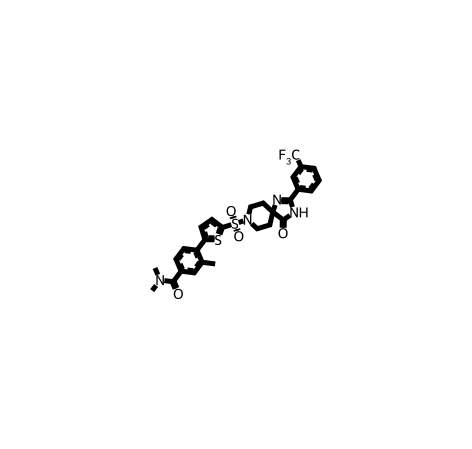 Cc1cc(C(=O)N(C)C)ccc1-c1ccc(S(=O)(=O)N2CCC3(CC2)N=C(c2cccc(C(F)(F)F)c2)NC3=O)s1